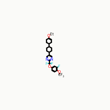 CCOC1=CCC(C2CCC(c3cnc(C(F)(F)Oc4ccc(OC(F)(F)F)c(F)c4)nc3)CC2)CC1